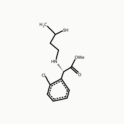 COC(=O)[C@@H](NCCC(C)S)c1ccccc1Cl